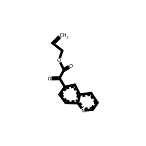 C=CCOC(=O)C(=O)c1ccc2ncccc2c1